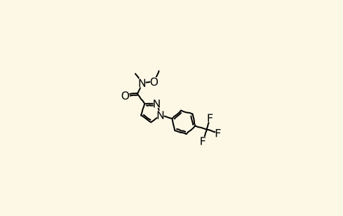 CON(C)C(=O)c1ccn(-c2ccc(C(F)(F)F)cc2)n1